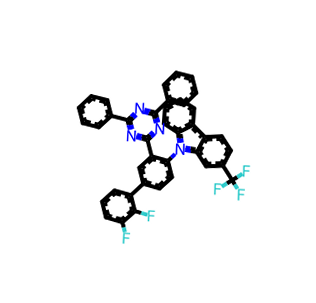 Fc1cccc(-c2ccc(-n3c4ccccc4c4ccc(C(F)(F)F)cc43)c(-c3nc(-c4ccccc4)nc(-c4ccccc4)n3)c2)c1F